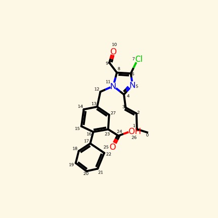 CCC=Cc1nc(Cl)c(C=O)n1Cc1ccc(-c2ccccc2)c(C(=O)O)c1